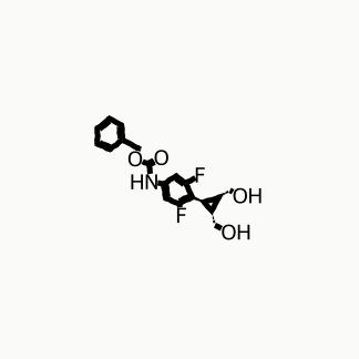 O=C(Nc1cc(F)c([C@H]2[C@H](CO)[C@@H]2CO)c(F)c1)OCc1ccccc1